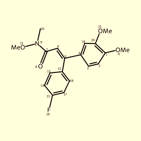 COc1ccc(C(=CC(=O)N(C)OC)c2ccc(F)cc2)cc1OC